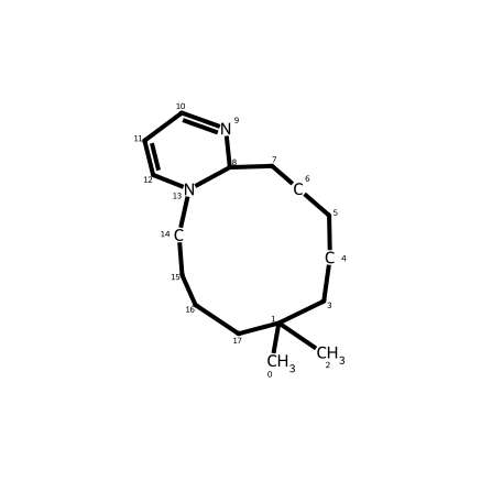 CC1(C)CCCCCC2N=CC=CN2CCCC1